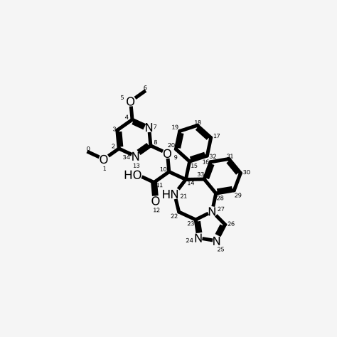 COc1cc(OC)nc(OC(C(=O)O)C2(c3ccccc3)NCc3nncn3-c3ccccc32)n1